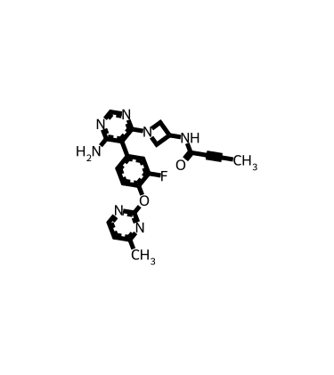 CC#CC(=O)NC1CN(c2ncnc(N)c2-c2ccc(Oc3nccc(C)n3)c(F)c2)C1